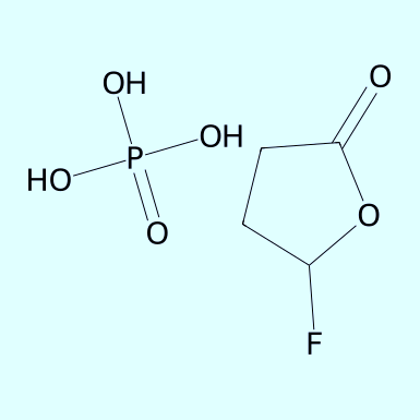 O=C1CCC(F)O1.O=P(O)(O)O